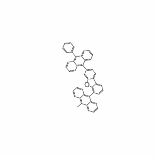 Cc1c2ccccc2c(-c2cccc3c2oc2cc(-c4c5ccccc5c(-c5ccccc5)c5ccccc45)ccc23)c2ccccc12